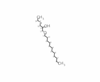 CCCCCCCCCCCCOCC(O)CSCC